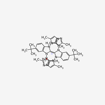 Cc1cnc(C)n1N1/C(=C2/N(n3c(C)cnc3C)c3ccc(C(C)(C)C)cc3N2n2c(C)cnc2C)N(n2c(C)cnc2C)c2cc(C(C)(C)C)ccc21